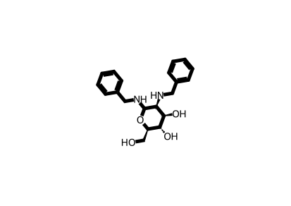 OC[C@H]1OC(NCc2ccccc2)[C@@H](NCc2ccccc2)[C@@H](O)[C@@H]1O